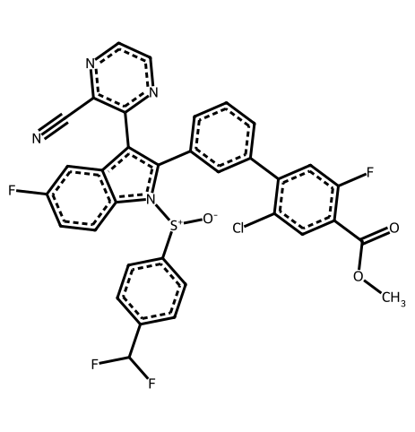 COC(=O)c1cc(Cl)c(-c2cccc(-c3c(-c4nccnc4C#N)c4cc(F)ccc4n3[S+]([O-])c3ccc(C(F)F)cc3)c2)cc1F